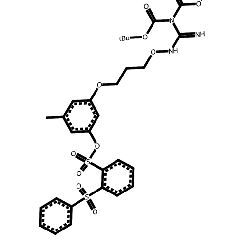 Cc1cc(OCCCONC(=N)N(C(=O)OC(C)(C)C)C(=O)OC(C)(C)C)cc(OS(=O)(=O)c2ccccc2S(=O)(=O)c2ccccc2)c1